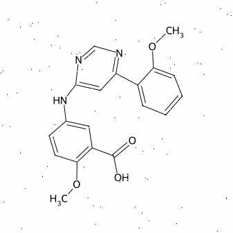 COc1ccc(Nc2cc(-c3ccccc3OC)ncn2)cc1C(=O)O